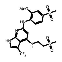 COc1cc(S(C)(=O)=O)ccc1Nc1cc(NCCS(C)(=O)=O)c2c(C(F)(F)F)c[nH]c2n1